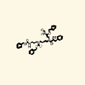 NC(Cc1ccccc1)C(=O)N(CCCCN(CCCNC(=O)OCc1ccccc1)C(=O)OCc1ccccc1)CCC(NC=O)OCc1ccccc1